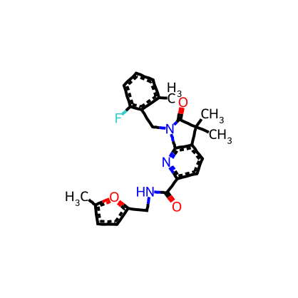 Cc1ccc(CNC(=O)c2ccc3c(n2)N(Cc2c(C)cccc2F)C(=O)C3(C)C)o1